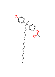 CCCCCCCCCCCCCCC(C)(c1ccc(OC)cc1)c1ccc(OC(C)=O)cc1